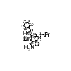 CC(C)CCOC(=O)C(CN)NC(=O)OCc1ccccc1.Cl